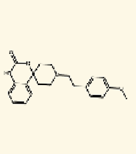 COc1ccc(CCN2CCC3(CC2)OC(=O)Nc2ccccc23)cc1